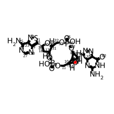 NC1=NC2C(N=NN2[C@@H]2O[C@@H]3COP(=O)(O)O[C@H]4C[C@H](c5snc6c(N)ncnc56)O[C@@H]4COP(=O)(O)O[C@@H]2[C@@H]3O)C(=O)N1